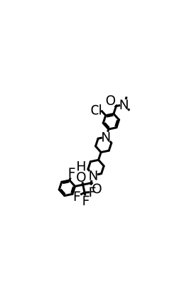 CN(C)C(=O)c1ccc(N2CCC(C3CCN(C(=O)C(O)(c4ccccc4F)C(F)(F)F)CC3)CC2)cc1Cl